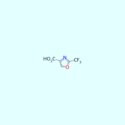 O=C(O)c1coc(C(F)(F)F)n1